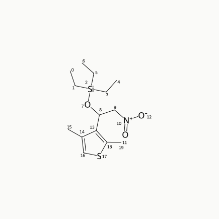 CC[Si](CC)(CC)OC(C[N+](=O)[O-])c1c(C)csc1C